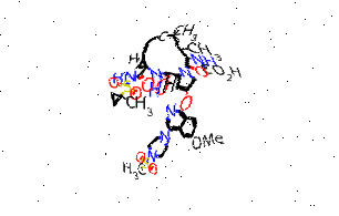 COc1ccc2c(O[C@@H]3C[C@H]4C(=O)N[C@]5(C(=O)NS(=O)(=O)C6(C)CC6)C[C@H]5C=CCC[C@@H](C)C[C@@H](C)[C@H](NC(=O)O)C(=O)N4C3)ncc(N3CCN(S(C)(=O)=O)CC3)c2c1